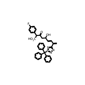 C=C(C=CC(O)CC(=O)C(C(=O)O)c1ccc(F)cc1)c1nnn(C(c2ccccc2)(c2ccccc2)c2ccccc2)n1